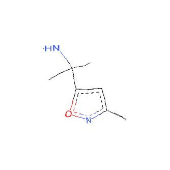 Cc1cc(C(C)(C)[NH])on1